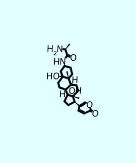 C[C@H](N)C(=O)N[C@H]1CC[C@]2(C)[C@H]3CC[C@]4(C)[C@@H](c5ccc(=O)oc5)CC[C@]4(O)[C@@H]3CC[C@]2(O)C1